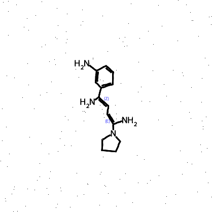 N/C(=C\C=C(/N)N1CCCC1)c1cccc(N)c1